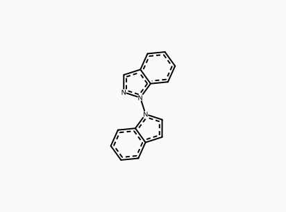 c1ccc2c(c1)ccn2-n1ncc2ccccc21